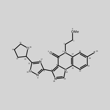 COCCn1c(=O)c2c(-c3noc(C4CCCO4)n3)ncn2c2ccc(F)cc21